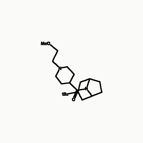 COCCN1CCC(C(=O)N2C3CCC2CC(C(C)(C)C)C3)CC1